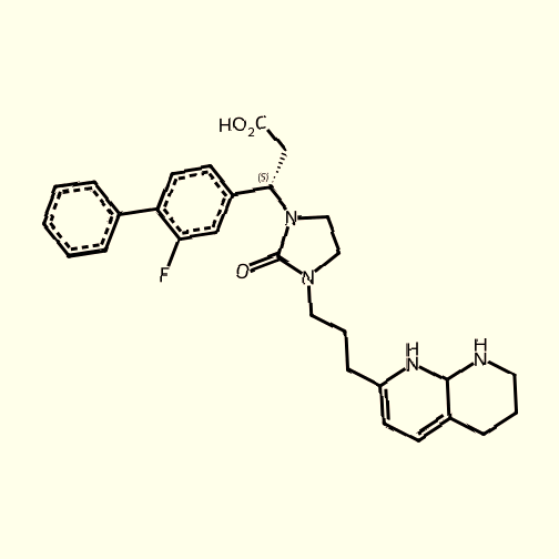 O=C(O)C[C@@H](c1ccc(-c2ccccc2)c(F)c1)N1CCN(CCCC2=CC=C3CCCNC3N2)C1=O